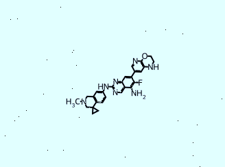 CN1Cc2cc(Nc3ncc4c(N)c(F)c(-c5cnc6c(c5)NCCO6)cc4n3)ccc2C2(CC2)C1